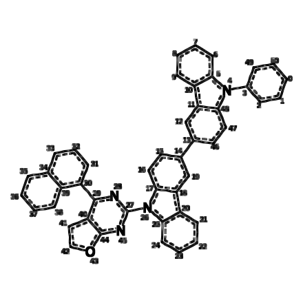 c1ccc(-n2c3ccccc3c3cc(-c4ccc5c(c4)c4ccccc4n5-c4nc(-c5cccc6ccccc56)c5ccoc5n4)ccc32)cc1